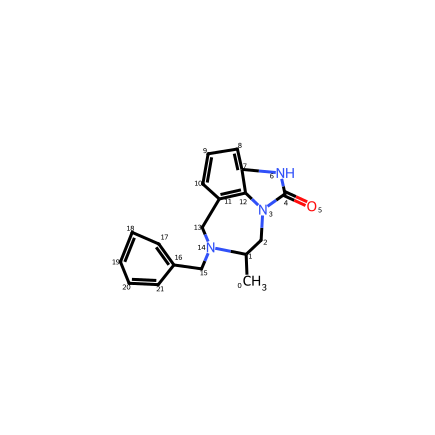 CC1Cn2c(=O)[nH]c3cccc(c32)CN1Cc1ccccc1